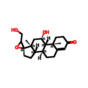 C[C@]12CCC(=O)C=C1CC[C@@H]1[C@@H]2[C@@H](O)C[C@@]2(C)[C@H]1CC[C@@]21OC1CO